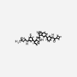 CN(C)CCNc1cc(F)cc(-c2ccnc3[nH]c(-c4n[nH]c5cnc(-c6cncc(NC(=O)C7CCC7)c6)cc45)nc23)c1